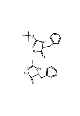 CC(=O)N[C@@H](Cc1ccccc1)C(=O)O.CC(C)(C)OC(=O)N[C@@H](Cc1ccccc1)C(=O)O